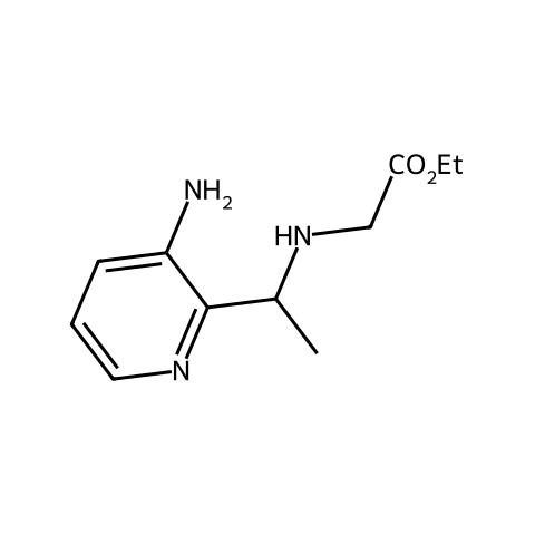 CCOC(=O)CNC(C)c1ncccc1N